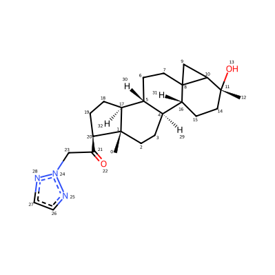 C[C@]12CC[C@H]3[C@@H](CCC45CC4[C@](C)(O)CC[C@H]35)[C@@H]1CC[C@@H]2C(=O)Cn1nccn1